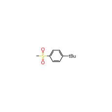 CC(C)(C)c1ccc(S(C)(=O)=O)cc1